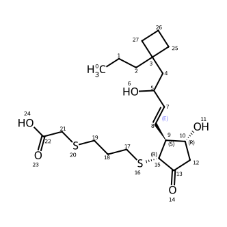 CCCC1(CC(O)/C=C/[C@H]2[C@H](O)CC(=O)[C@@H]2SCCCSCC(=O)O)CCC1